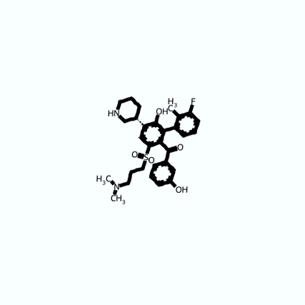 Cc1c(F)cccc1-c1c(O)c([C@H]2CCCNC2)[c]c(S(=O)(=O)CCCN(C)C)c1C(=O)c1cccc(O)c1